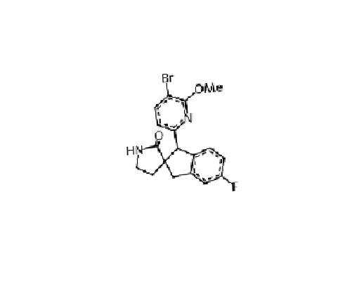 COc1nc(C2c3ccc(F)cc3CC23CCNC3=O)ccc1Br